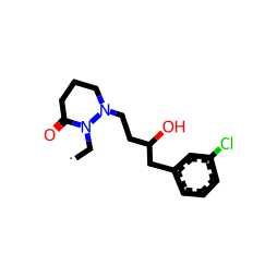 [CH2]CN1C(=O)CCCN1CCC(O)Cc1cccc(Cl)c1